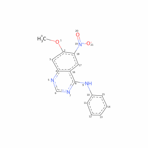 COc1cc2ncnc(Nc3ccccc3)c2cc1[N+](=O)[O-]